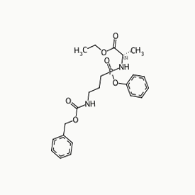 CCOC(=O)[C@H](C)NP(=O)(CCCNC(=O)OCc1ccccc1)Oc1ccccc1